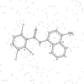 Cc1ccc(OC(=O)c2c(I)ccc(I)c2I)c2ccccc12